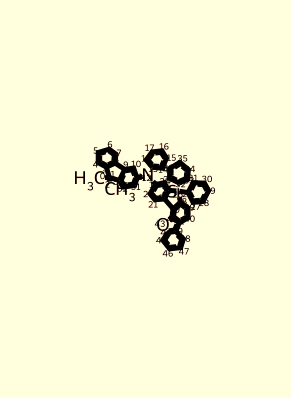 CC1(C)c2ccccc2-c2cc(N(c3ccccc3)c3ccc4c(c3)[Si](c3ccccc3)(c3ccccc3)c3ccc5c(oc6ccccc65)c3-4)ccc21